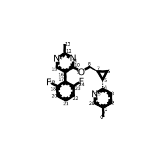 Cc1ccc([C@H]2C[C@@H]2COc2nc(C)ncc2-c2c(F)cccc2F)nc1